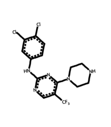 FC(F)(F)c1cnc(Nc2ccc(Cl)c(Cl)c2)nc1N1CCNCC1